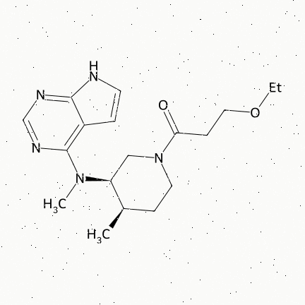 CCOCCC(=O)N1CC[C@@H](C)[C@@H](N(C)c2ncnc3[nH]ccc23)C1